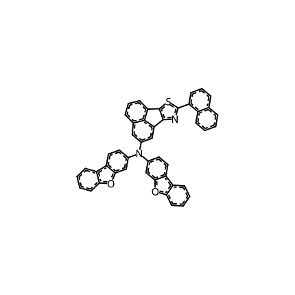 c1ccc2c(-c3nc4c(s3)-c3cccc5cc(N(c6ccc7c(c6)oc6ccccc67)c6ccc7c(c6)oc6ccccc67)cc-4c35)cccc2c1